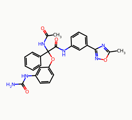 CC(=O)NC(Oc1cccc(NC(N)=O)c1)(C(=O)Nc1cccc(-c2noc(C)n2)c1)c1ccccc1